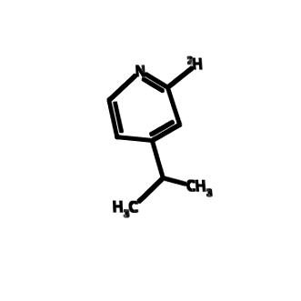 [2H]c1cc(C(C)C)ccn1